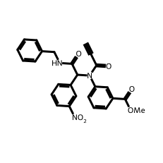 C#CC(=O)N(c1cccc(C(=O)OC)c1)C(C(=O)NCc1ccccc1)c1cccc([N+](=O)[O-])c1